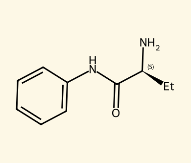 CC[C@H](N)C(=O)Nc1ccccc1